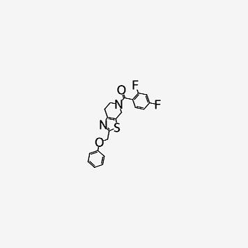 O=C(c1ccc(F)cc1F)N1CCc2nc(COc3ccccc3)sc2C1